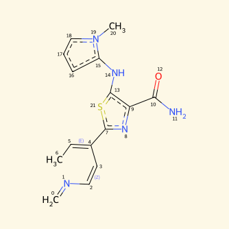 C=N/C=C\C(=C/C)c1nc(C(N)=O)c(Nc2cccn2C)s1